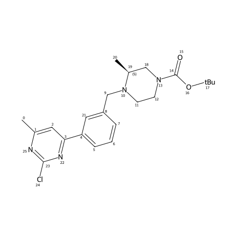 Cc1cc(-c2cccc(CN3CCN(C(=O)OC(C)(C)C)C[C@@H]3C)c2)nc(Cl)n1